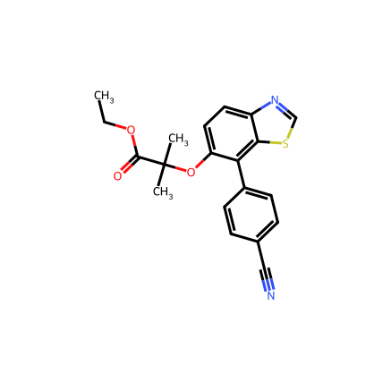 CCOC(=O)C(C)(C)Oc1ccc2ncsc2c1-c1ccc(C#N)cc1